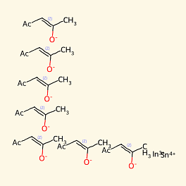 CC(=O)/C=C(/C)[O-].CC(=O)/C=C(/C)[O-].CC(=O)/C=C(/C)[O-].CC(=O)/C=C(/C)[O-].CC(=O)/C=C(/C)[O-].CC(=O)/C=C(/C)[O-].CC(=O)/C=C(/C)[O-].[In+3].[Sn+4]